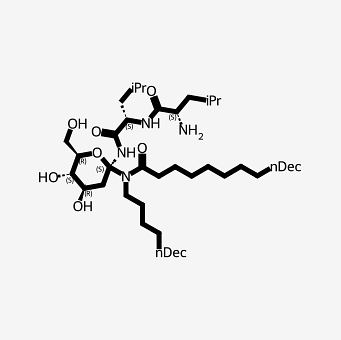 CCCCCCCCCCCCCCCCCC(=O)N(CCCCCCCCCCCCCC)[C@@]1(NC(=O)[C@H](CC(C)C)NC(=O)[C@@H](N)CC(C)C)C[C@@H](O)[C@H](O)[C@@H](CO)O1